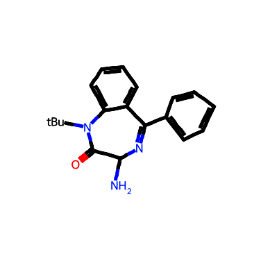 CC(C)(C)N1C(=O)C(N)N=C(c2ccccc2)c2ccccc21